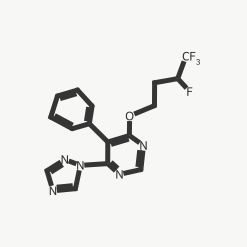 FC(CCOc1ncnc(-n2cncn2)c1-c1ccccc1)C(F)(F)F